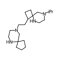 CC(C)N1CCNC2(CCC2CCN2CCNC3(CCCC3)C2)C1